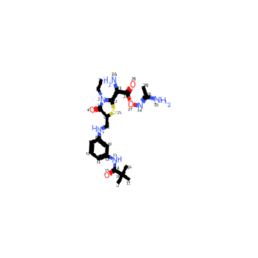 CCN1C(=O)C(CNc2cccc(NC(=O)C(C)(C)C)c2)SC1C(N)C(=O)O/N=C(\C)N